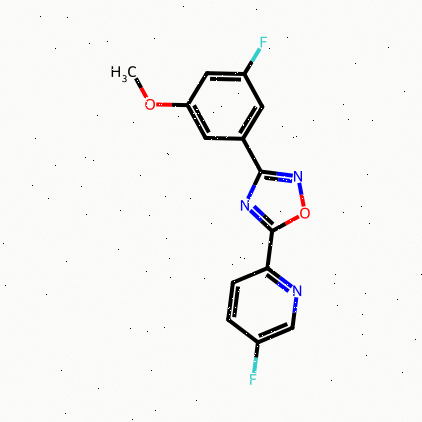 COc1cc(F)cc(-c2noc(-c3ccc(F)cn3)n2)c1